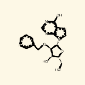 OC[C@H]1O[C@@H](n2cnc3c(O)ncnc32)[C@H](OCc2cccnc2)[C@@H]1O